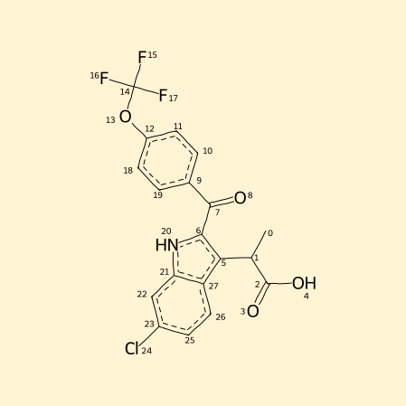 CC(C(=O)O)c1c(C(=O)c2ccc(OC(F)(F)F)cc2)[nH]c2cc(Cl)ccc12